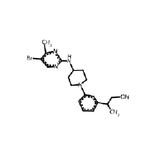 Cc1nc(NC2CCN(c3cccc(C(C)CO)c3)CC2)ncc1Br